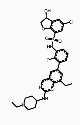 CCc1cc(-c2cccc(NS(=O)(=O)c3cc(Cl)cc4c3OC[C@H]4O)c2F)cc2cnc(NC3CCN(CC)CC3)nc12